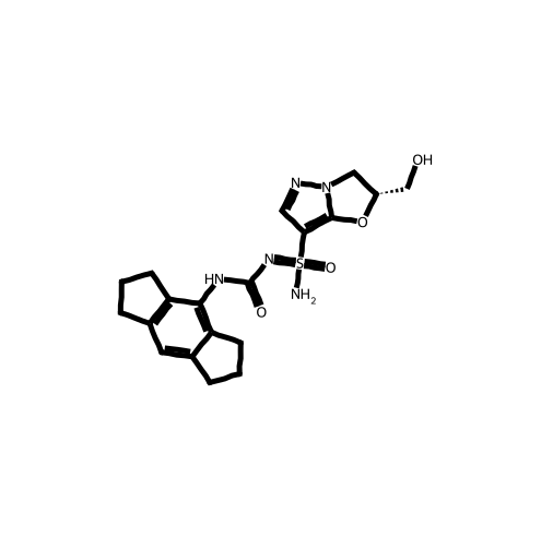 NS(=O)(=NC(=O)Nc1c2c(cc3c1CCC3)CCC2)c1cnn2c1O[C@@H](CO)C2